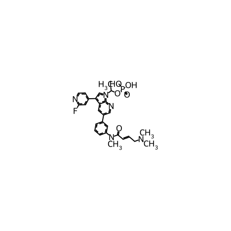 CC(OP(=O)(O)O)n1cc(-c2ccnc(F)c2)c2cc(-c3cccc(N(C)C(=O)C=CCN(C)C)c3)cnc21